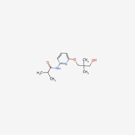 CC(C)C(=O)Nc1cccc(OCC(C)(C)CO)n1